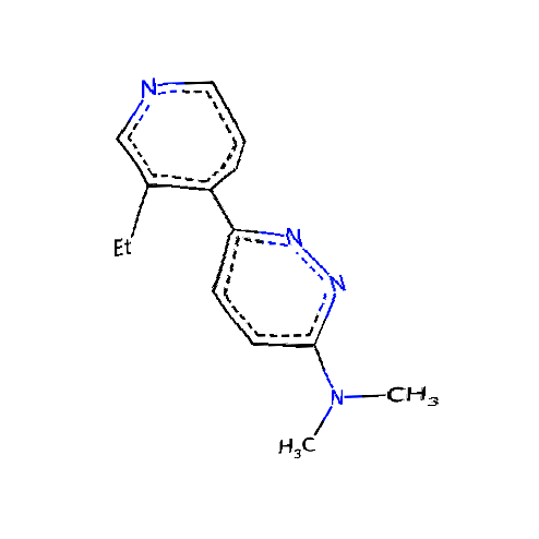 CCc1cnccc1-c1ccc(N(C)C)nn1